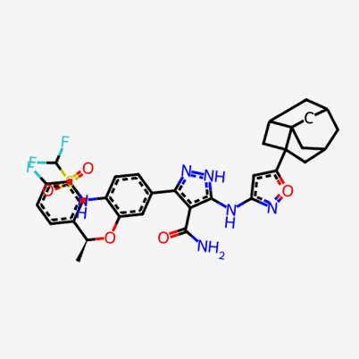 C[C@H](Oc1cc(-c2n[nH]c(Nc3cc(C45CC6CC7CC(C4)C5(C7)C6)on3)c2C(N)=O)ccc1NS(=O)(=O)C(F)F)c1ccc(F)cc1